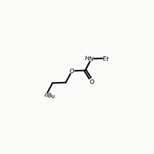 [CH2]CCCCCOC(=O)NCC